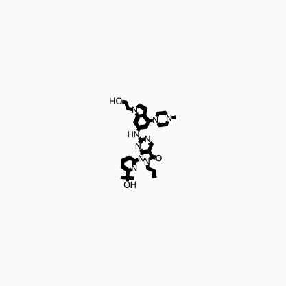 C=CCn1c(=O)c2cnc(Nc3cc(N4CCN(C)CC4)c4ccn(CCO)c4c3)nc2n1-c1cccc(C(C)(C)O)n1